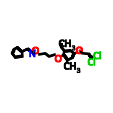 CCc1cc(OCC=C(Cl)Cl)cc(C)c1OCCCCO/N=C/c1ccccc1